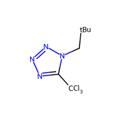 CC(C)(C)Cn1nnnc1C(Cl)(Cl)Cl